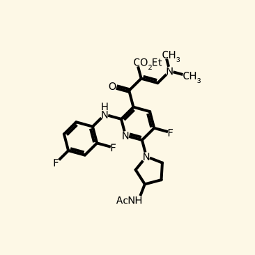 CCOC(=O)C(=CN(C)C)C(=O)c1cc(F)c(N2CCC(NC(C)=O)C2)nc1Nc1ccc(F)cc1F